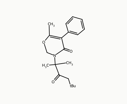 CC1=C(c2ccccc2)C(=O)N(C(C)(C)C(=O)CC(C)(C)C)CO1